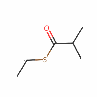 C[CH]SC(=O)C(C)C